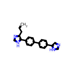 C=CCc1nc[nH]c1-c1ccc(-c2ccc(-c3cnc[nH]3)cc2)cc1